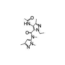 CCn1nc(C)c(NC(C)=O)c1C(=O)N(C)c1cc(C)nn1C